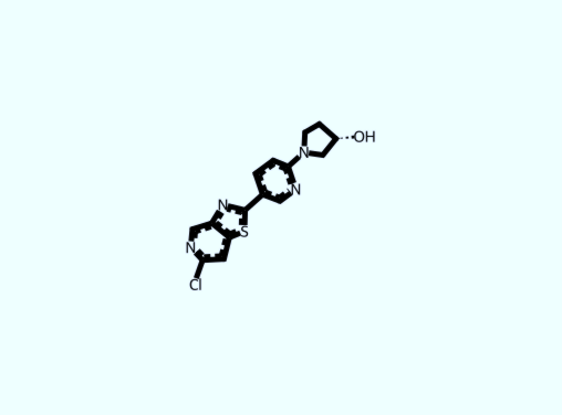 O[C@H]1CCN(c2ccc(-c3nc4cnc(Cl)cc4s3)cn2)C1